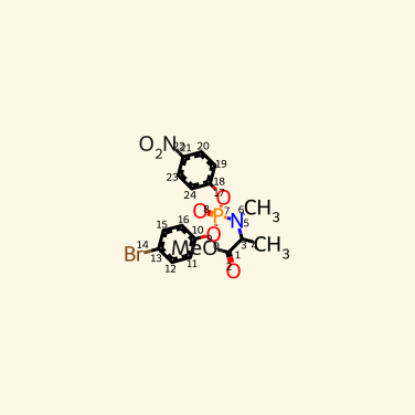 COC(=O)C(C)N(C)P(=O)(Oc1ccc(Br)cc1)Oc1ccc([N+](=O)[O-])cc1